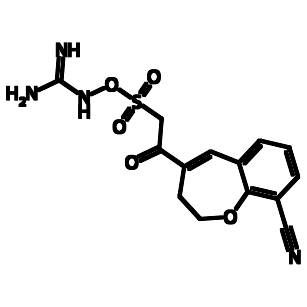 N#Cc1cccc2c1OCCC(C(=O)CS(=O)(=O)ONC(=N)N)=C2